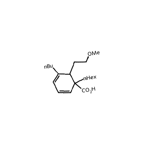 CCCCCCC1(C(=O)O)C=CC=C(CCCC)C1CCOC